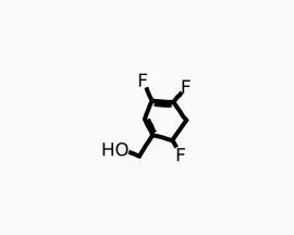 OCC1=CC(F)=C(F)CC1F